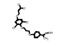 CC(=NO)c1ccc(OCCCOc2c(Cl)cc(OCC=C(Cl)Cl)cc2Cl)cc1